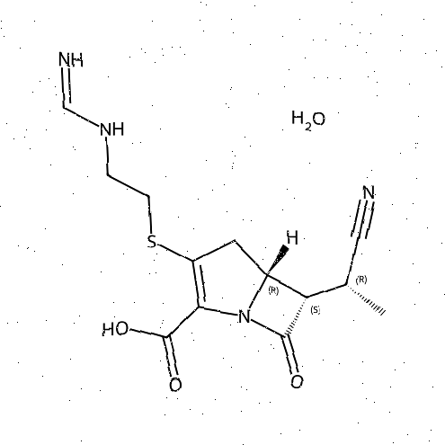 C[C@@H](C#N)[C@@H]1C(=O)N2C(C(=O)O)=C(SCCNC=N)C[C@H]12.O